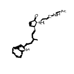 CC(=O)CNCCCN[C@H]1C(=O)C=C[C@@H]1/C=C/C(C)CCc1cc2ccccc2[nH]1